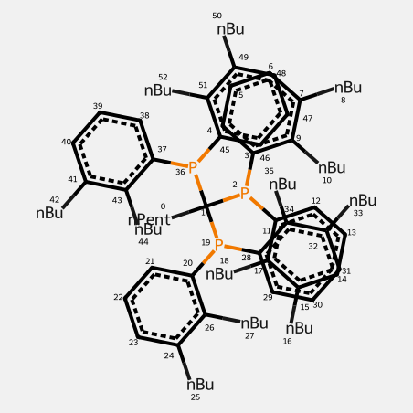 CCCCCC(P(c1cccc(CCCC)c1CCCC)c1cccc(CCCC)c1CCCC)(P(c1cccc(CCCC)c1CCCC)c1cccc(CCCC)c1CCCC)P(c1cccc(CCCC)c1CCCC)c1cccc(CCCC)c1CCCC